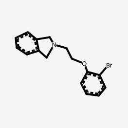 Brc1ccccc1OCCN1Cc2ccccc2C1